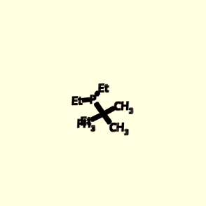 CCP(CC)C(C)(C)CC.P